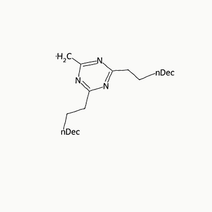 [CH2]c1nc(CCCCCCCCCCCC)nc(CCCCCCCCCCCC)n1